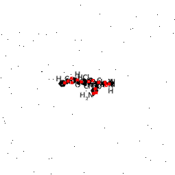 Cc1cc(C(=O)NC2CCC(N(C)Cc3ccccc3)CC2)ccc1-c1ccc(C[C@H](NC(=O)C2CCC(CN)CC2)C(=O)Nc2ccc(-c3nnn[nH]3)cc2)cc1.Cl